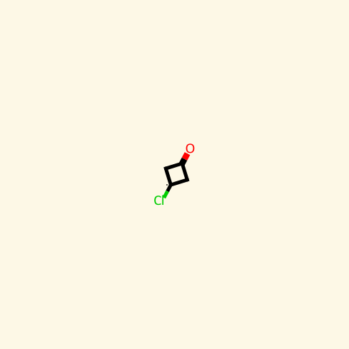 O=C1C[C](Cl)C1